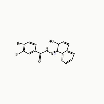 O=C(N/N=C1/c2ccccc2C=CC1O)c1ccc(Br)c(Br)c1